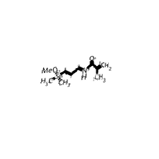 C=C(C)C(=O)NCCC[Si](C)(C)OC